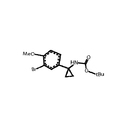 COc1ccc(C2(NC(=O)OC(C)(C)C)CC2)cc1Br